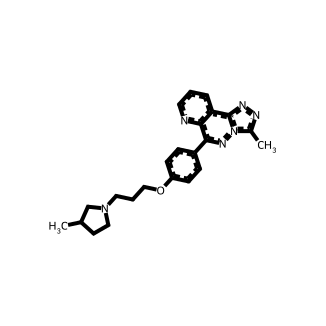 Cc1nnc2c3cccnc3c(-c3ccc(OCCCN4CCC(C)C4)cc3)nn12